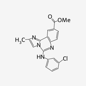 COC(=O)c1ccc2nc(Nc3cccc(Cl)c3)n3cc(C)nc3c2c1